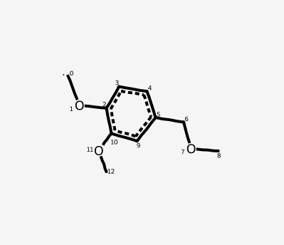 [CH2]Oc1ccc(COC)cc1OC